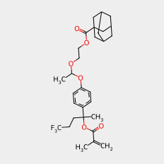 C=C(C)C(=O)OC(C)(CCC(F)(F)F)c1ccc(OC(C)OCCOC(=O)C23CC4CC(CC(C4)C2)C3)cc1